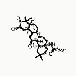 [C-]#[N+]C1=C[C@]2(C)C3=CC(=O)[C@@H]4[C@@H]5CC(C)(C)CC[C@]5(NC(=O)OC)CC[C@@]4(C)[C@]3(C)CC[C@H]2C(C)(C)C1=O